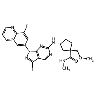 CNC(=O)[C@@]1(COC)CC[C@@H](Nc2ncc3c(I)nn(-c4cc(F)c5ncccc5c4)c3n2)C1